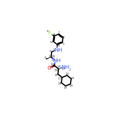 C[C@@H](CNc1cccc(F)c1)NC(=O)[C@@H](N)CC1CCCCC1